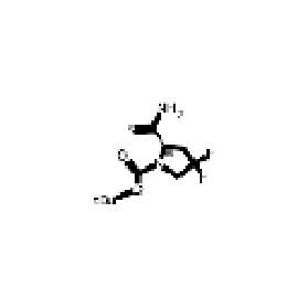 CC(C)(C)OC(=O)N1CC(F)(F)C[C@@H]1C(N)=S